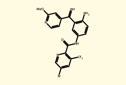 COc1cc(C(=N)c2cc(NC(=O)c3ncc(Br)cc3C(F)(F)F)ccc2N)ccn1